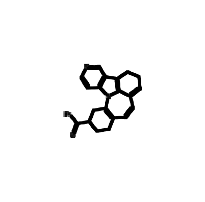 CC(C)C(=O)C1CCC2=C(C1)n1c3c(c4cnccc41)CCC=C3C=C2